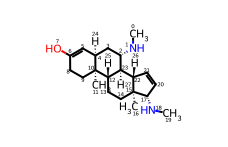 CN[C@H]1C[C@@H]2C=C(O)CC[C@]2(C)[C@H]2CC[C@]3(C)[C@@H](NC)C=C[C@H]3[C@H]12